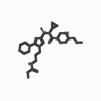 COC[C@H]1CO[C@@H](C(=O)N(C2CC2)[C@@H](C)c2cn(CCCNC(=O)OC)c(C3CCOCC3)n2)CN1